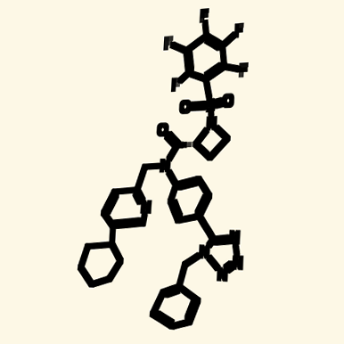 O=C([C@H]1CCN1S(=O)(=O)c1c(F)c(F)c(F)c(F)c1F)N(Cc1ccc(C2CCCCC2)cn1)c1ccc(-c2nnnn2Cc2ccccc2)cc1